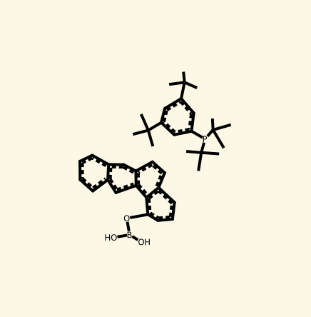 CC(C)(C)c1cc(P(C(C)(C)C)C(C)(C)C)cc(C(C)(C)C)c1.OB(O)Oc1cccc2ccc3cc4ccccc4cc3c12